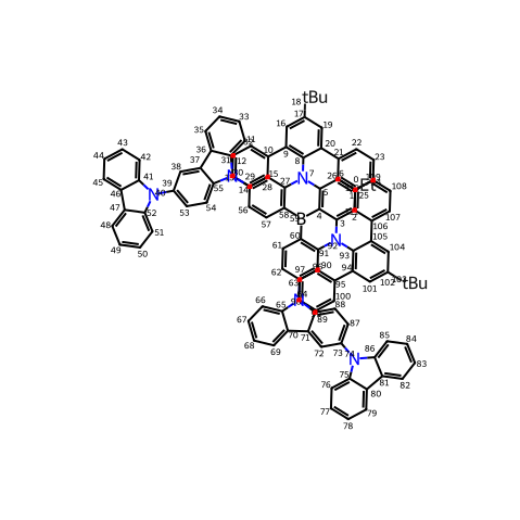 CCc1cc2c3c(c1)N(c1c(-c4ccccc4)cc(C(C)(C)C)cc1-c1ccccc1)c1cc(-n4c5ccccc5c5cc(-n6c7ccccc7c7ccccc76)ccc54)ccc1B3c1ccc(-n3c4ccccc4c4cc(-n5c6ccccc6c6ccccc65)ccc43)cc1N2c1c(-c2ccccc2)cc(C(C)(C)C)cc1-c1ccccc1